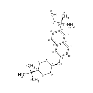 CC(C)(C)[C@H]1CC[C@@H](Oc2ccc3cc([C@@](C)(N)CO)ccc3c2)CC1